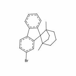 CC12CCCC(C)(CC1)C21c2ccccc2-c2ccc(Br)cc21